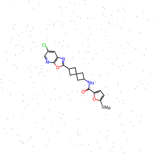 CSc1ccc(C(=O)NC2CC3(C2)CC(c2nc4cc(Cl)cnc4o2)C3)o1